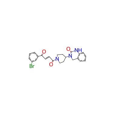 O=C(C=CC(=O)N1CCC(N2Cc3ccccc3NC2=O)CC1)c1cccc(Br)c1